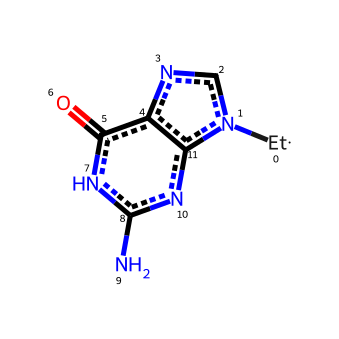 C[CH]n1cnc2c(=O)[nH]c(N)nc21